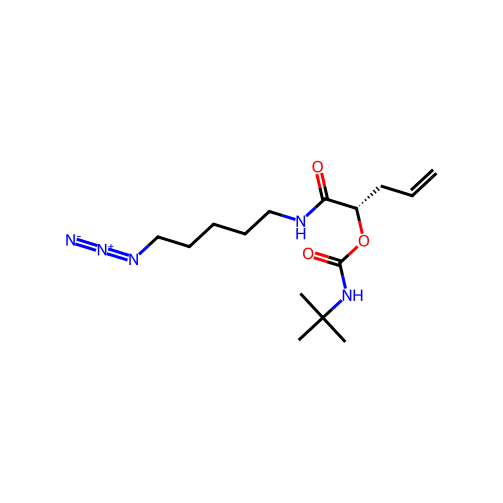 C=CC[C@H](OC(=O)NC(C)(C)C)C(=O)NCCCCCN=[N+]=[N-]